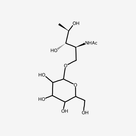 CC(=O)N[C@@H](COC1OC(CO)C(O)C(O)C1O)[C@H](O)[C@@H](C)O